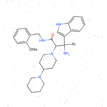 COc1ccccc1CNC(=O)C(N1CCC(N2CCCCC2)CC1)C(N)(C(C)=O)c1c[nH]c2ccccc12